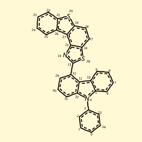 c1ccc(-n2c3ccccc3c3c(-c4nc5c(ccc6sc7ccccc7c65)s4)cccc32)cc1